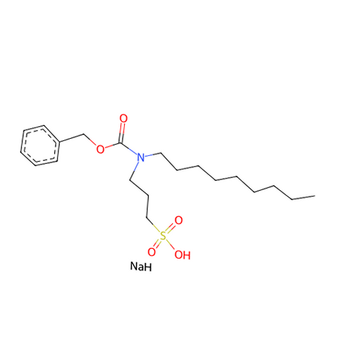 CCCCCCCCCN(CCCS(=O)(=O)O)C(=O)OCc1ccccc1.[NaH]